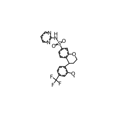 COc1cc(C(F)(F)F)ccc1C1CCOc2cc(S(=O)(=O)Nc3ncccn3)ccc21